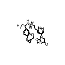 C[C@@H](NS(=O)(=O)CCc1cc(N2CC(=O)NC2=O)cnn1)c1ccc(F)c(OCC2CC2)c1